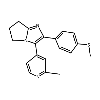 CSc1ccc(-c2nc3n(c2-c2ccnc(C)c2)CCC3)cc1